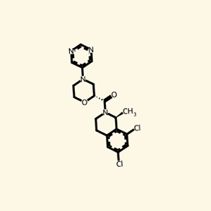 C[C@H]1c2c(Cl)cc(Cl)cc2CCN1C(=O)[C@H]1CN(c2cncnc2)CCO1